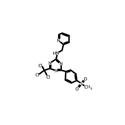 CS(=O)(=O)c1ccc(-c2nc(NCc3ccccn3)nc(C(Cl)(Cl)Cl)n2)cc1